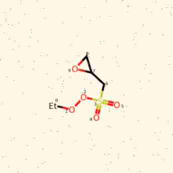 CCOOS(=O)(=O)CC1CO1